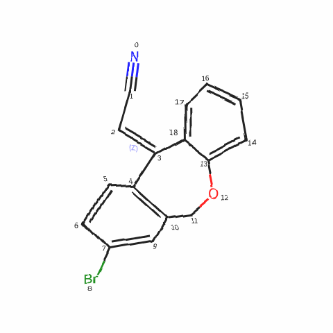 N#C/C=C1/c2ccc(Br)cc2COc2ccccc21